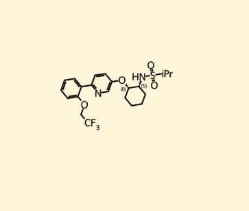 CC(C)S(=O)(=O)N[C@H]1CCCC[C@H]1Oc1ccc(-c2ccccc2OCC(F)(F)F)nc1